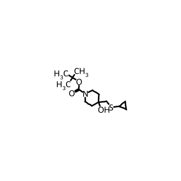 CC(C)(C)OC(=O)N1CCC(O)(CSC2CC2)CC1